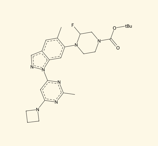 Cc1nc(N2CCC2)cc(-n2ncc3cc(C)c(N4CCN(C(=O)OC(C)(C)C)CC4F)cc32)n1